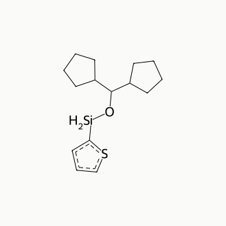 c1csc([SiH2]OC(C2CCCC2)C2CCCC2)c1